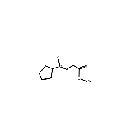 CC(C)(C)OC(=O)CC[S+]([O-])C1CCCC1